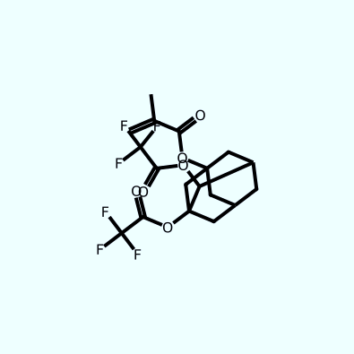 C=C(C)C(=O)OC12CC3CC(C1)C(OC(=O)C(F)(F)F)C(OC(=O)C(F)(F)F)(C3)C2